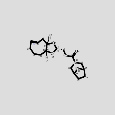 O=C(OC[C@H]1O[C@H]2C/C=C/CCC[C@H]2O1)N1CC2CCC(C1)N2